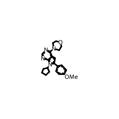 COc1ccc(-c2cc3c(N4CCOCC4)ncnc3n2C2CCCC2)cc1